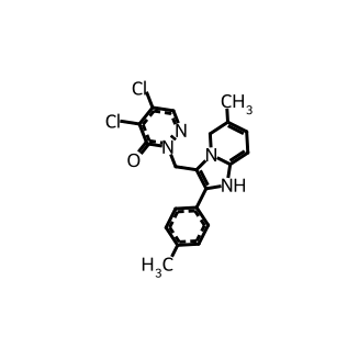 CC1=CC=C2NC(c3ccc(C)cc3)=C(Cn3ncc(Cl)c(Cl)c3=O)N2C1